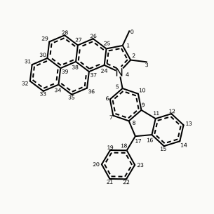 Cc1c(C)n(-c2ccc3c(c2)-c2ccccc2C3c2ccccc2)c2c1cc1ccc3cccc4ccc2c1c34